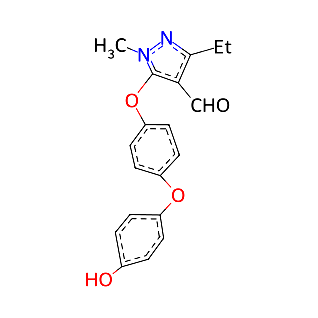 CCc1nn(C)c(Oc2ccc(Oc3ccc(O)cc3)cc2)c1C=O